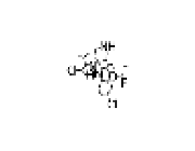 CC(C)c1c(Cl)cnn1C1(C(=O)Nc2ccc(Cl)cc2OC(F)F)CCNCC1